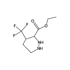 CCOC(=O)C1NNCCC1C(F)(F)F